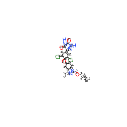 CCc1nn(COCC[Si](C)(C)C)c2ccc(Oc3c(Cl)cc(-c4n[nH]c(=O)[nH]c4=O)cc3Cl)cc12